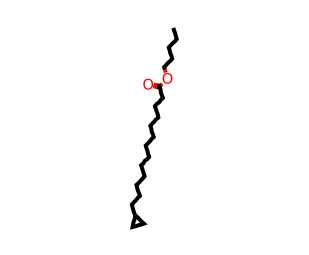 CCCCCOC(=O)CCCCCCCCCCCCC1CC1